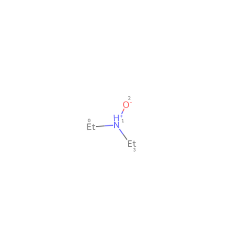 CC[NH+]([O-])CC